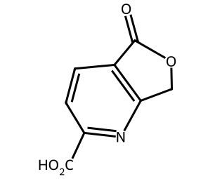 O=C(O)c1ccc2c(n1)COC2=O